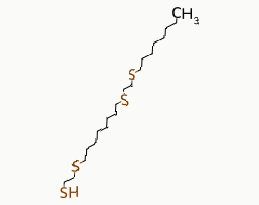 CCCCCCCCSCCSCCCCCCCCSCCS